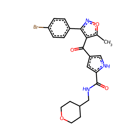 Cc1onc(-c2ccc(Br)cc2)c1C(=O)c1c[nH]c(C(=O)NCC2CCOCC2)c1